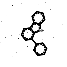 [c]1cc(-c2ccccc2)c2[nH]c3ccccc3c2c1